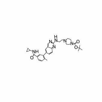 Cc1ccc(C(=O)NC2CC2)cc1-c1ccc2nc(NCCN3CCN(C(=O)OC(C)(C)C)CC3)ncc2c1